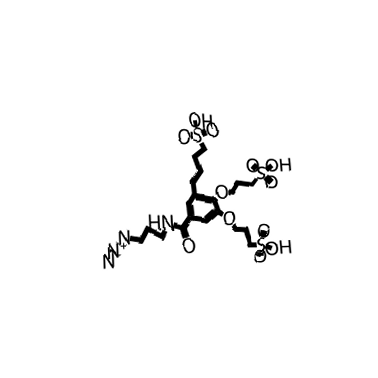 [N-]=[N+]=NCCCNC(=O)c1cc(CCCCS(=O)(=O)O)c(OCCCS(=O)(=O)O)c(OCCCS(=O)(=O)O)c1